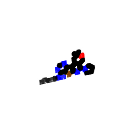 CCCCCNc1ncnc2c1sc1nc(N3CCCC3)c3c(c12)CC(C)(C)OC3